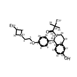 CCC1CN(CCOc2ccc([C@@H]3c4ccc(O)cc4CCN3C(=O)C(C)(C)F)cc2)C1